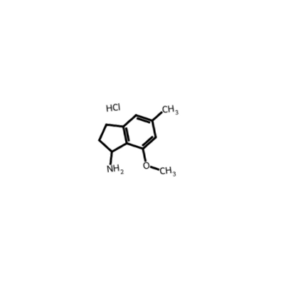 COc1cc(C)cc2c1C(N)CC2.Cl